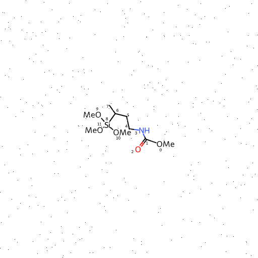 COC(=O)NCCC(C)[Si](OC)(OC)OC